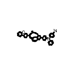 C=C1/C=C\c2cc(-c3ccc(N(c4ccccc4)c4ccc(C#N)cc4)cc3)cc3c2C/C(=C\C(c2ccc4c(c2)oc2ccccc24)=C/1)C=C3